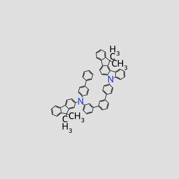 CC1(C)c2ccccc2-c2ccc(N(c3ccc(-c4ccccc4)cc3)c3cccc(-c4cccc(-c5ccc(-n6c7ccccc7c7c8c(ccc76)-c6ccccc6C8(C)C)cc5)c4)c3)cc21